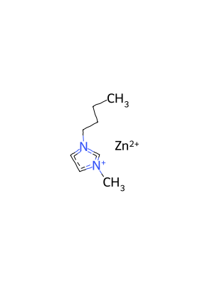 CCCCn1cc[n+](C)c1.[Zn+2]